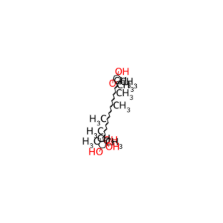 CC(/C=C/C=C(C)/C=C/C1(O)C(C)(C)CC(O)CC1(C)O)=C\C=C\C=C(C)\C=C\C=C(C)\C=C\C12OC1(C)CC(O)CC2(C)C